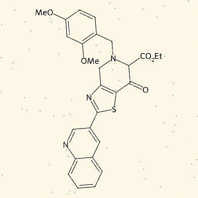 CCOC(=O)C1C(=O)c2sc(-c3cnc4ccccc4c3)nc2CN1Cc1ccc(OC)cc1OC